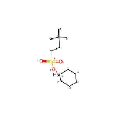 CC(C)(C)CCS(=O)(=O)O[SiH]1CCCCC1